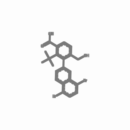 CC(C)(C)c1c(C(=O)O)ccc(CO)c1-c1ccc2c(Br)ccc(Br)c2c1